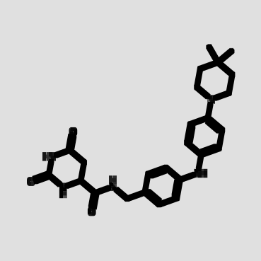 CC1(C)CCN(c2ccc(Nc3ccc(CNC(=O)C4CC(=O)NC(=O)N4)cc3)cc2)CC1